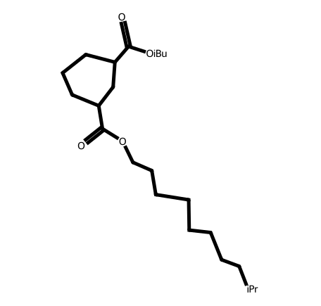 CC(C)CCCCCCCCOC(=O)C1CCCC(C(=O)OCC(C)C)C1